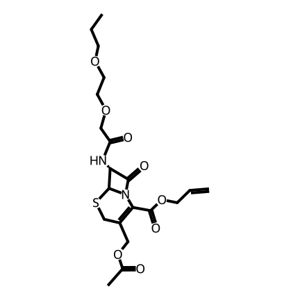 C=CCOC(=O)C1=C(COC(C)=O)CSC2[C@H](NC(=O)COCCOCCC)C(=O)N12